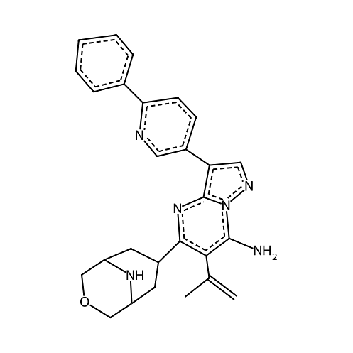 C=C(C)c1c(C2CC3COCC(C2)N3)nc2c(-c3ccc(-c4ccccc4)nc3)cnn2c1N